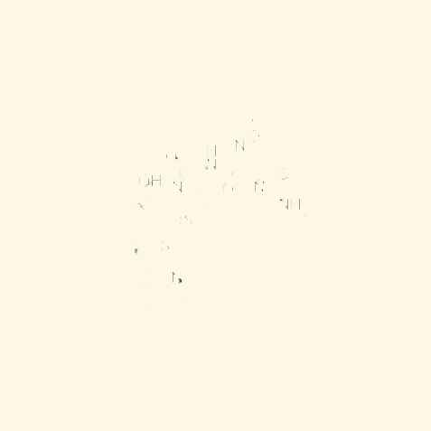 CON=C(C(=O)NC1C(=O)N2C(C(=O)O)=C(CSC(SC)c3ccccn3)SCC12)c1csc(N)n1